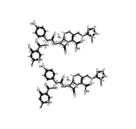 Cc1cc(=O)c(C(=O)N[C@@H](C(=O)N[C@@H]2C(=O)N3C(C(=O)O)=C(CSc4nnnn4C)CS[C@H]23)c2ccc(O)cc2)c[nH]1.Cc1cc(=O)c(C(=O)N[C@@H](C(=O)N[C@@H]2C(=O)N3C(C(=O)O)=C(CSc4nnnn4C)CS[C@H]23)c2ccc(O)cc2)c[nH]1